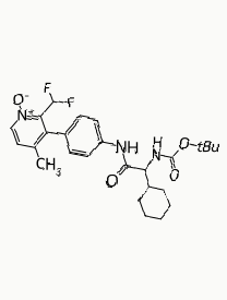 Cc1cc[n+]([O-])c(C(F)F)c1-c1ccc(NC(=O)[C@@H](NC(=O)OC(C)(C)C)C2CCCCC2)cc1